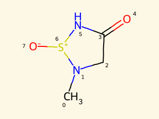 CN1CC(=O)N[S+]1[O-]